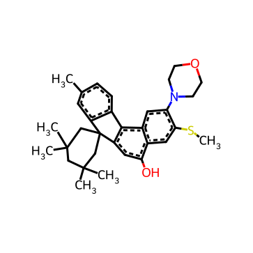 CSc1cc2c(O)cc3c(c2cc1N1CCOCC1)-c1ccc(C)cc1C31CC(C)(C)CC(C)(C)C1